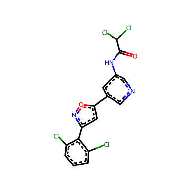 O=C(Nc1cncc(-c2cc(-c3c(Cl)cccc3Cl)no2)c1)C(Cl)Cl